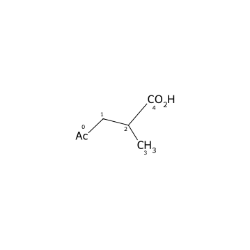 CC(=O)CC(C)C(=O)O